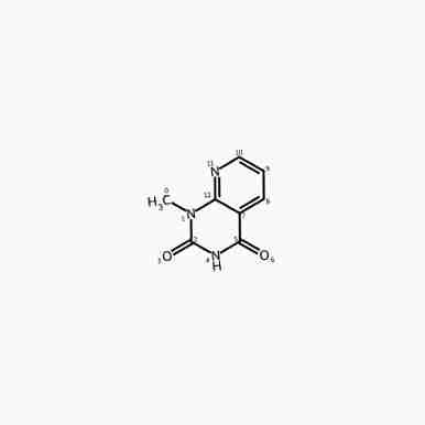 Cn1c(=O)[nH]c(=O)c2cccnc21